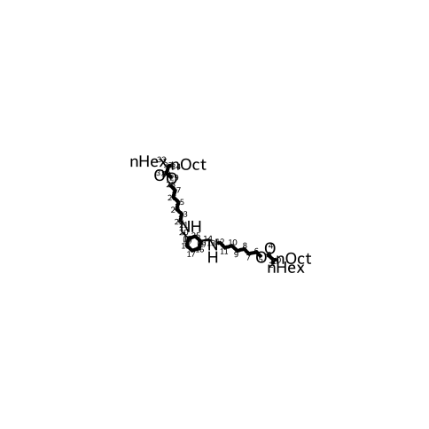 CCCCCCCCC(CCCCCC)C(=O)OCCCCCCCNC[C@H]1CCC[C@@H](CNCCCCCCCOC(=O)C(CCCCCC)CCCCCCCC)C1